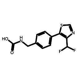 O=C(O)NCc1ccc(-c2scnc2C(F)F)cc1